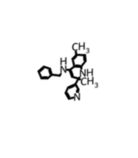 Cc1ccc2c(c1)C(NCc1ccccc1)=CC(C)(c1cccnc1)N2